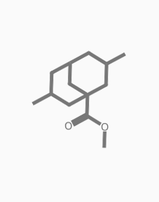 COC(=O)C12CC(C)CC(CC(C)C1)C2